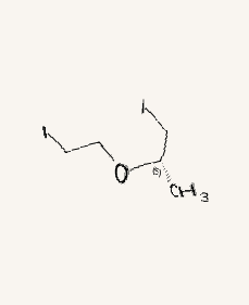 C[C@@H](CI)OCCI